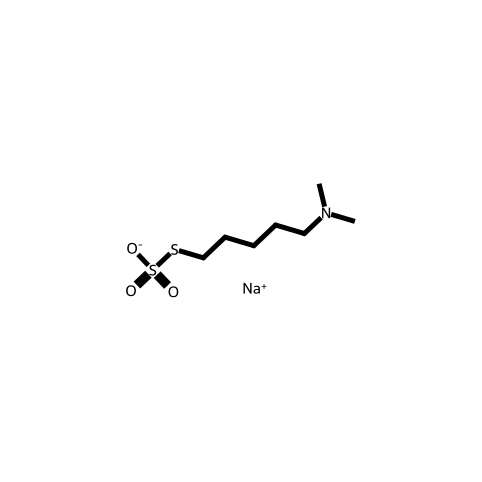 CN(C)CCCCCSS(=O)(=O)[O-].[Na+]